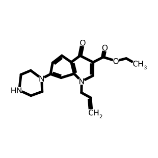 C=CCn1cc(C(=O)OCC)c(=O)c2ccc(N3CCNCC3)cc21